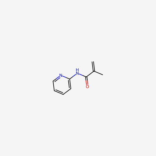 C=C(C)C(=O)Nc1ccccn1